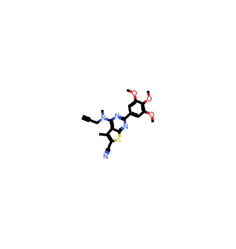 C#CCN(C)c1nc(-c2cc(OC)c(OC)c(OC)c2)nc2sc(C#N)c(C)c12